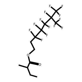 CCC(C)C(=O)OCCC(F)(F)C(F)(F)C(F)(F)C(F)(C(F)(F)F)C(F)(F)F